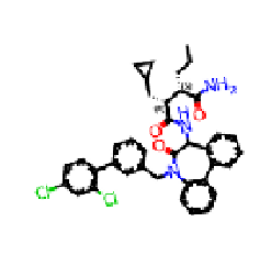 CCC[C@H](C(N)=O)[C@@H](CC1CC1)C(=O)NC1C(=O)N(Cc2cccc(-c3ccc(Cl)cc3Cl)c2)c2ccccc2-c2ccccc21